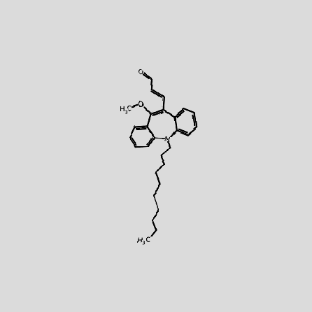 CCCCCCCCCCN1c2ccccc2C(/C=C/C=O)=C(OC)c2ccccc21